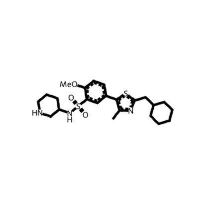 COc1ccc(-c2sc(CC3CCCCC3)nc2C)cc1S(=O)(=O)NC1CCCNC1